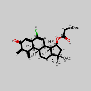 C=C1C(=C)[C@@]2(C)C(=CC1=O)C(Cl)=C[C@@H]1[C@@H]2CC[C@@]2(C)[C@H]1C(OC(=O)CCCCCCCCCCC)C[C@]2(OC(C)=O)C(C)=O